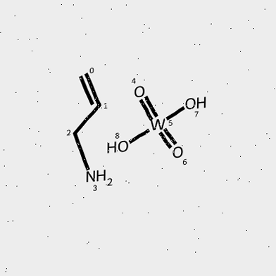 C=CCN.[O]=[W](=[O])([OH])[OH]